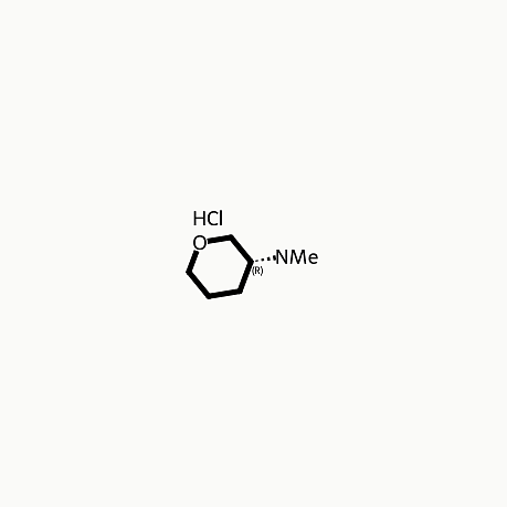 CN[C@@H]1CCCOC1.Cl